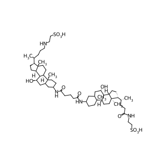 C[C@H](CCC(=O)NCCS(=O)(=O)O)[C@H]1CC[C@H]2C3[C@@H](O)CC4CC(NC(=O)CCCC(=O)NC5CC[C@]6(C)C(C5)C[C@@H](O)C5[C@H]7CC[C@@H]([C@@H](C)CCCNCCS(=O)(=O)O)[C@]7(C)CC[C@H]56)CC[C@]4(C)[C@H]3CC[C@]12C